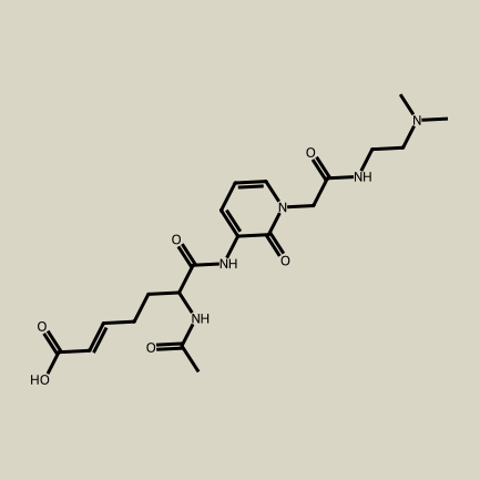 CC(=O)NC(CC/C=C/C(=O)O)C(=O)Nc1cccn(CC(=O)NCCN(C)C)c1=O